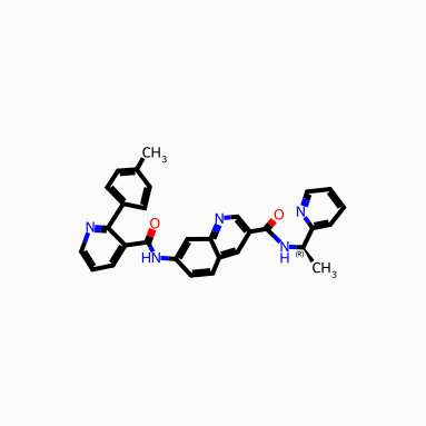 Cc1ccc(-c2ncccc2C(=O)Nc2ccc3cc(C(=O)N[C@H](C)c4ccccn4)cnc3c2)cc1